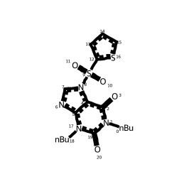 CCCCn1c(=O)c2c(ncn2S(=O)(=O)c2cccs2)n(CCCC)c1=O